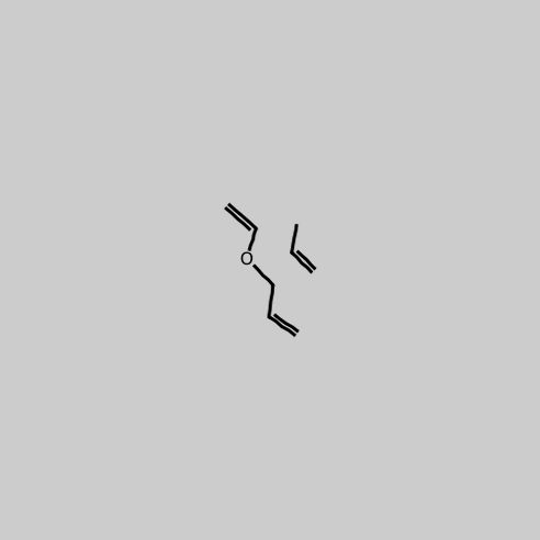 C=CC.C=CCOC=C